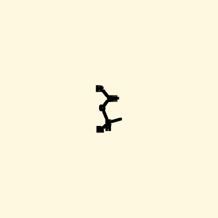 CC[SiH](C)O[SiH](C)CC